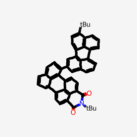 CC(C)(C)c1ccc2c3cc(-c4ccc5cccc6c7ccc8c9c(ccc(c4c56)c97)C(=O)N(C(C)(C)C)C8=O)cc4cccc(c5cccc1c52)c43